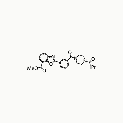 COC(=O)c1cccc2nc(-c3cccc(C(=O)N4CCN(C(=O)C(C)C)CC4)c3)oc12